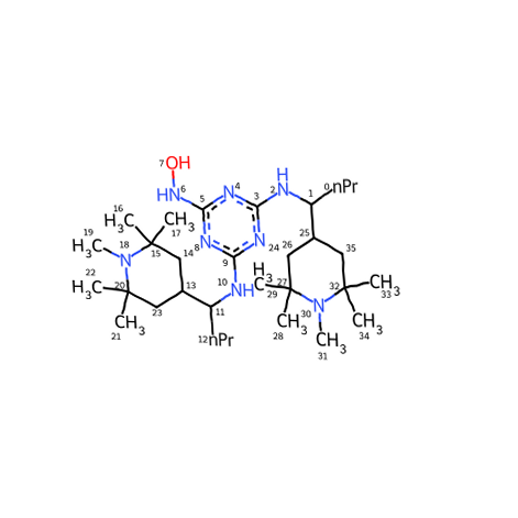 CCCC(Nc1nc(NO)nc(NC(CCC)C2CC(C)(C)N(C)C(C)(C)C2)n1)C1CC(C)(C)N(C)C(C)(C)C1